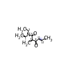 C=CN(CC)C(=O)C(=C)C(=O)/C=C/C